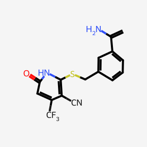 C=C(N)c1cccc(CSc2[nH]c(=O)cc(C(F)(F)F)c2C#N)c1